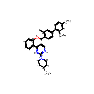 COc1ccc(-c2ccc(COc3ccccc3-c3ccnc(N4CCC(C(=O)O)CC4)n3)c(C)c2)c(OC)c1